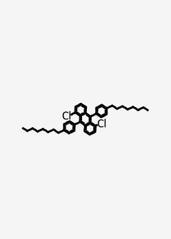 CCCCCCCCc1ccc(-c2c3cccc(Cl)c3c(-c3ccc(CCCCCCCC)cc3)c3cccc(Cl)c23)cc1